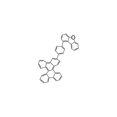 c1ccc2c(c1)oc1cccc(-c3ccc(-c4ccc5c(c4)c4ccccc4c4c6ccccc6c6ccccc6c54)cc3)c12